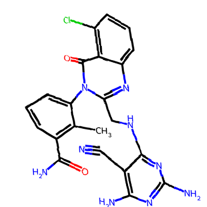 Cc1c(C(N)=O)cccc1-n1c(CNc2nc(N)nc(N)c2C#N)nc2cccc(Cl)c2c1=O